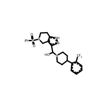 CC(C)S(=O)(=O)N1CCc2[nH]nc(C(O)N3CCC(c4ccccc4C(F)(F)F)CC3)c2C1